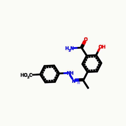 C/C(=N/Nc1ccc(C(=O)O)cc1)c1ccc(O)c(C(N)=O)c1